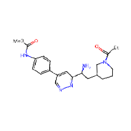 CCC(=O)N1CCCC(C[C@H](N)c2cc(-c3ccc(NC(=O)OC)cc3)cnn2)C1